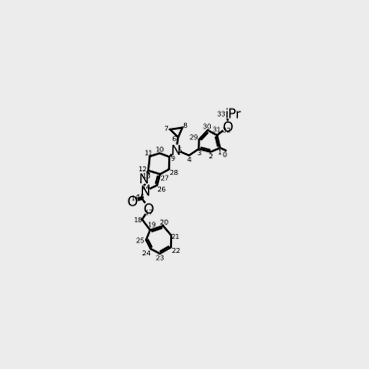 Cc1cc(CN(C2CC2)C2CCc3nn(C(=O)OCC4=CCC=CC=C4)cc3C2)ccc1OC(C)C